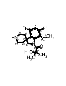 COc1c(F)cc(F)c2c1N(C(=O)C(C)(C)C)CC21CCNCC1